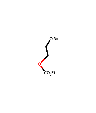 CCOC(=O)OCCOCC(C)C